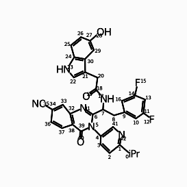 CC(C)c1ccc(-n2c(C(Cc3cc(F)cc(F)c3)NC(=O)Cc3c[nH]c4ccc(O)cc34)nc3cc(C#N)ccc3c2=O)cn1